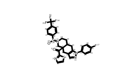 O=C(c1nccs1)C12Cc3cnn(-c4ccc(F)cc4)c3CC1CCN([S+]([O-])c1ccc(C(F)(F)F)cc1)C2